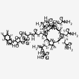 C/C1=C2N=C(/C=C3N=C(/C(C)=C4/[C@@H](CCC(N)=O)[C@](C)(CC(N)=O)[C@](C)([C@@H]5N=C1[C@](C)(CCC(=O)NCC(C)OP(=O)([O-])O[C@H]1[C@@H](O)[C@@H](n6cnc7cc(C)c(C)cc76)O[C@@H]1CO)[C@H]5CC(N)=O)[N]4[Co+][C]#N)[C@@](C)(CC(N)=O)[C@@H]\3CCC(N)=O)C(C)(C)[C@@H]/2CCC(N)=O.O=P(O)(O)Cl